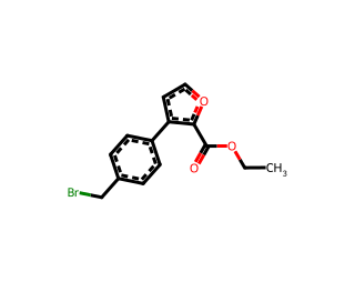 CCOC(=O)c1occc1-c1ccc(CBr)cc1